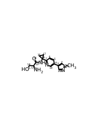 Cn1cc(-c2ccc(C3(NC(=O)C(N)CO)CC3)nc2)cn1